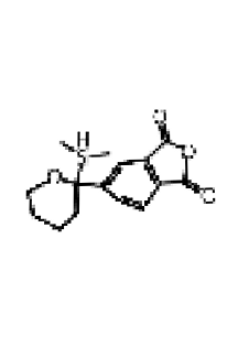 C[SiH](C)C1(c2ccc3c(c2)C(=O)OC3=O)CCCCO1